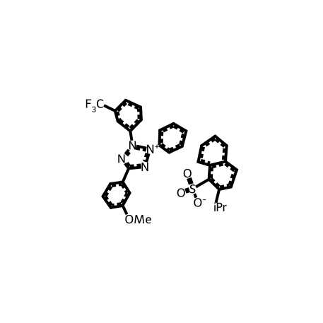 CC(C)c1ccc2ccccc2c1S(=O)(=O)[O-].COc1cccc(-c2nn(-c3cccc(C(F)(F)F)c3)[n+](-c3ccccc3)n2)c1